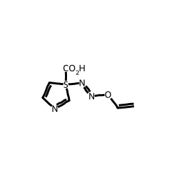 C=CON=NS1(C(=O)O)C=CN=C1